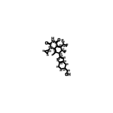 CC1=c2c(c(=O)[nH]c(=O)n2C2CC2)=C(C(F)F)C(F)C1c1cc2c(s1)CCC(CO)C2